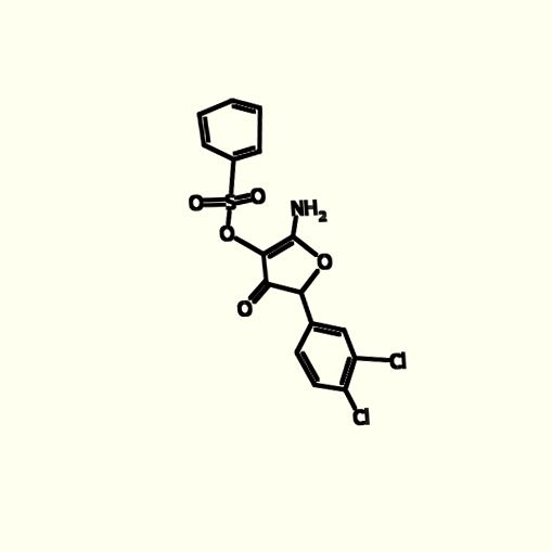 NC1=C(OS(=O)(=O)c2ccccc2)C(=O)C(c2ccc(Cl)c(Cl)c2)O1